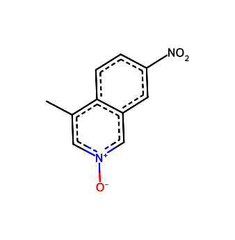 Cc1c[n+]([O-])cc2cc([N+](=O)[O-])ccc12